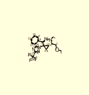 COCCN(C)N=C(c1ccccc1)C1(n2cnc(C(F)(F)F)n2)CC1